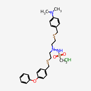 CN(C)c1ccc(CSCCN(CCSCc2ccc(Oc3ccccc3)cc2)NS(C)(=O)=O)cc1.Cl